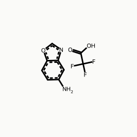 Nc1ccc2ocnc2c1.O=C(O)C(F)(F)F